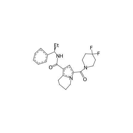 CC[C@@H](NC(=O)c1cc(C(=O)N2CCC(F)(F)CC2)n2c1CCCC2)c1ccccc1